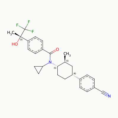 C[C@H]1C[C@H](c2ccc(C#N)cc2)CC[C@@H]1N(C(=O)c1ccc([C@](C)(O)C(F)(F)F)cc1)C1CC1